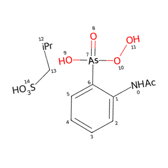 CC(=O)Nc1ccccc1[As](=O)(O)OO.CC(C)CS(=O)(=O)O